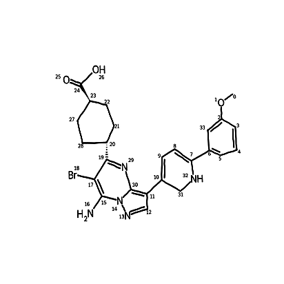 COc1cccc(C2=CC=C(c3cnn4c(N)c(Br)c([C@H]5CC[C@H](C(=O)O)CC5)nc34)CN2)c1